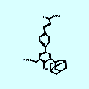 COC(=O)C=Cc1ccc(-c2cc(CNC(C)=O)c(O)c(C34CC5CC(CC(C5)C3)C4)c2)cc1